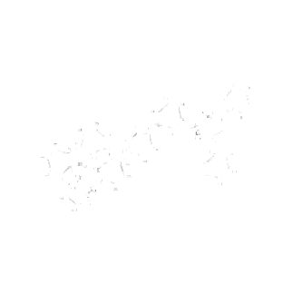 c1ccc(-c2cc(-c3ccccc3)nc(-c3cccc(-c4ccc(-c5ccc6c(c5)C5(c7ccccc7-c7ccccc75)c5ccccc5-6)cc4)c3)n2)cc1